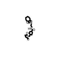 O=C(NCCC[Si]12OC3CCCCCC(O1)C3O2)C1CCC(CN2C(=O)C=CC2=O)CC1